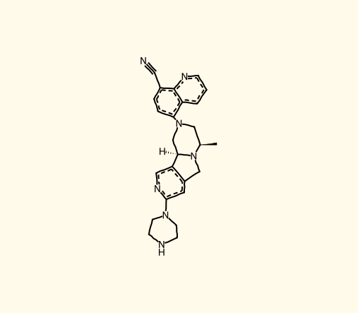 C[C@@H]1CN(c2ccc(C#N)c3ncccc23)C[C@@H]2c3cnc(N4CCNCC4)cc3CN12